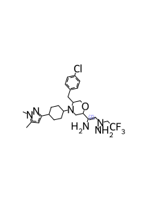 Cc1cc(C2CCC(N3CC(/C(N)=C/N(N)CC(F)(F)F)OCC3Cc3ccc(Cl)cc3)CC2)nn1C